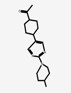 CC(=O)C1CCC(c2cnc(N3CCC(C)CC3)nc2)CC1